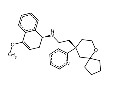 COC1=CC[C@H](NCC[C@@]2(c3ccccn3)CCOC3(CCCC3)C2)c2ccccc21